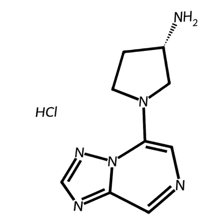 Cl.N[C@H]1CCN(c2cncc3ncnn23)C1